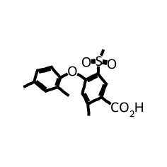 Cc1ccc(Oc2cc(C)c(C(=O)O)cc2S(C)(=O)=O)c(C)c1